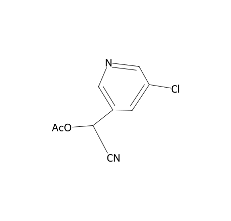 CC(=O)OC(C#N)c1cncc(Cl)c1